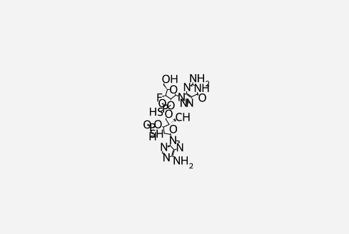 C#C[C@]1(COP(=O)(S)O[C@@H]2[C@@H](F)[C@@H](CO)O[C@H]2n2nnc3c(=O)[nH]c(N)nc32)O[C@@H](n2cnc3c(N)ncnc32)C[C@@H]1O[PH](=O)S